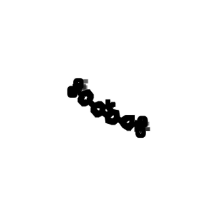 CC1(C)c2cc(-c3ccc([N+](=O)[O-])cc3)ccc2-c2ccc(-c3ccc([N+](=O)[O-])cc3)cc21